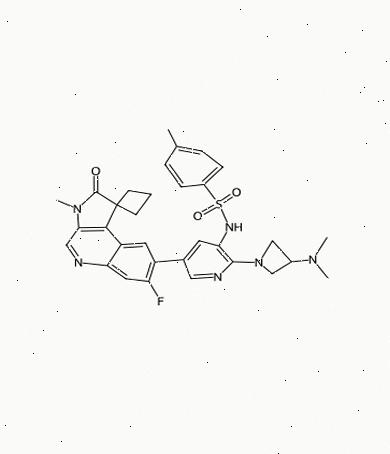 Cc1ccc(S(=O)(=O)Nc2cc(-c3cc4c5c(cnc4cc3F)N(C)C(=O)C53CCC3)cnc2N2CC(N(C)C)C2)cc1